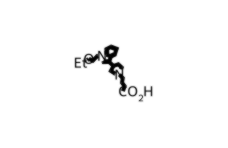 CCOCCn1cc(C2CCN(CCCC(=O)O)CC2)c2ccccc21